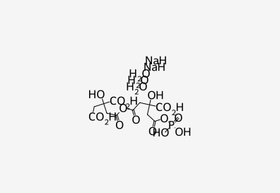 O.O.O.O=C(O)CC(O)(CC(=O)OC(=O)CC(O)(CC(=O)OP(=O)(O)O)C(=O)O)C(=O)O.[NaH].[NaH]